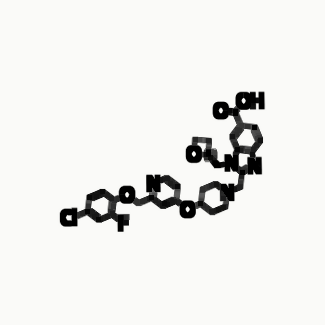 O=C(O)c1ccc2nc(CN3CCC(Oc4ccnc(COc5ccc(Cl)cc5F)c4)CC3)n(C[C@@H]3CCO3)c2c1